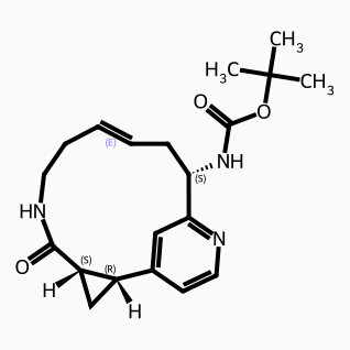 CC(C)(C)OC(=O)N[C@H]1C/C=C/CCNC(=O)[C@H]2C[C@H]2c2ccnc1c2